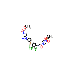 CCS(=O)(=O)N1CCN(C(=O)/C=C/c2ccc(Sc3cccc(NC4CCN(C(=O)COC)CC4)c3)c(C(F)(F)F)c2C(F)(F)F)CC1